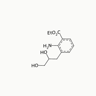 CCOC(=O)c1cccc(CC(O)CO)c1N